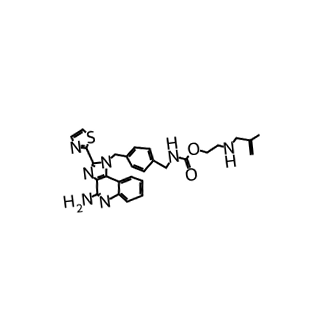 C=C(C)CNCCOC(=O)NCc1ccc(Cn2c(-c3nccs3)nc3c(N)nc4ccccc4c32)cc1